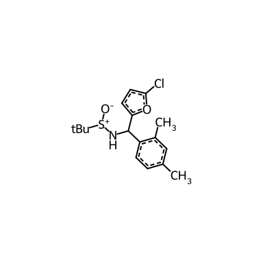 Cc1ccc(C(N[S+]([O-])C(C)(C)C)c2ccc(Cl)o2)c(C)c1